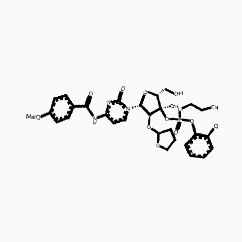 COc1ccc(C(=O)Nc2ccn([C@@H]3O[C@H](CO)[C@@](O)(OP(=O)(OCCC#N)Oc4ccccc4Cl)[C@H]3OC3CCCO3)c(=O)n2)cc1